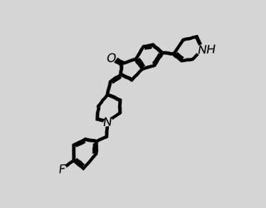 O=C1/C(=C/C2CCN(Cc3ccc(F)cc3)CC2)Cc2cc(C3=CCNCC3)ccc21